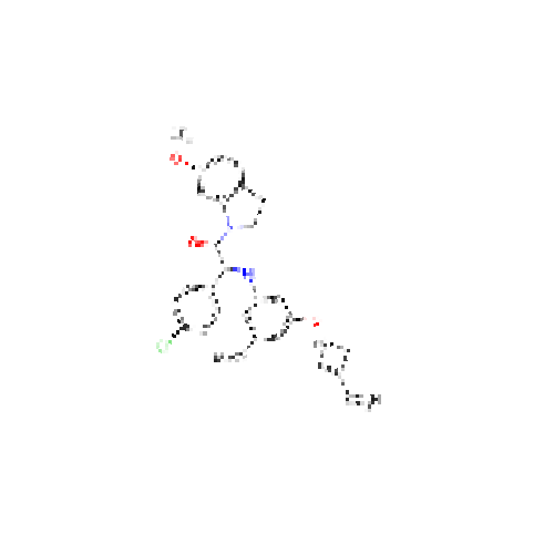 COc1cc(NC(C(=O)N2CCc3ccc(OC(F)(F)F)cc32)c2ccc(Cl)cc2)cc(O[C@H]2C=C(C(=O)O)C2)c1